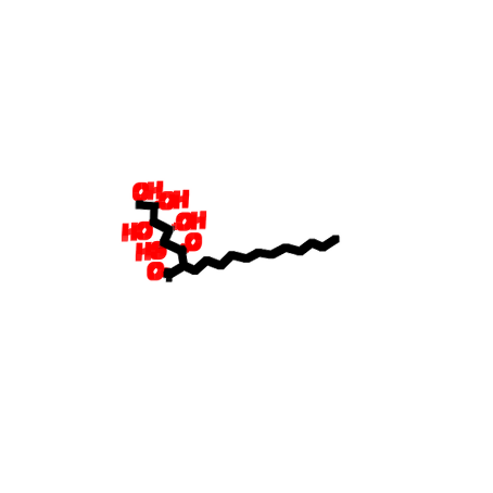 CCCCCCCCCCCCC([C]=O)C(=O)[C@H](O)[C@@H](O)[C@H](O)[C@H](O)CO